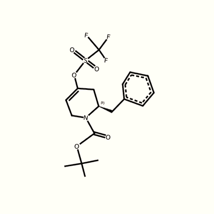 CC(C)(C)OC(=O)N1CC=C(OS(=O)(=O)C(F)(F)F)C[C@H]1Cc1ccccc1